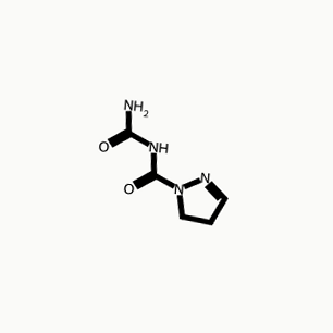 NC(=O)NC(=O)N1CCC=N1